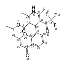 CCOC(=O)C1=C(C)NC(C)=C(C(=O)C(F)(F)F)C1c1cccc2c(=O)cc(C)oc12